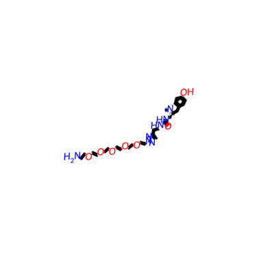 CN(C)[C@H](CNC(=O)NCCc1cnn(CCOCCOCCOCCOCCOCCN)n1)Cc1ccc(O)cc1